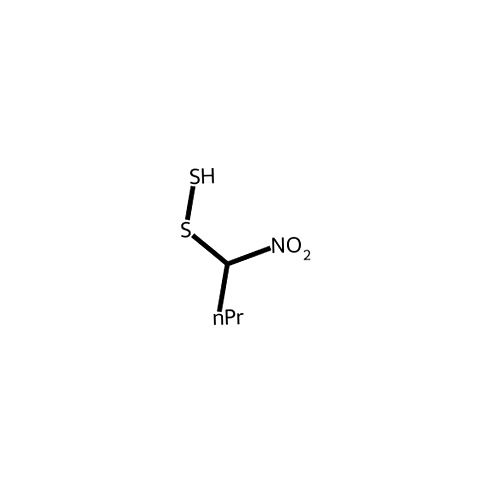 CCCC(SS)[N+](=O)[O-]